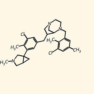 Cc1cc(Cl)c(C)c(CN2CCN3CC(Cc4cc(Cl)c(C)c(C56CC5CN(C)C6)c4)C2C3)c1